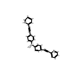 [O-][S+](c1ccc(C#Cc2ccccn2)cc1)c1ccc(C#Cc2ccccn2)cc1